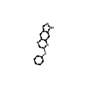 c1ccc(Sc2cnc3cc4cn[nH]c4cc3n2)cc1